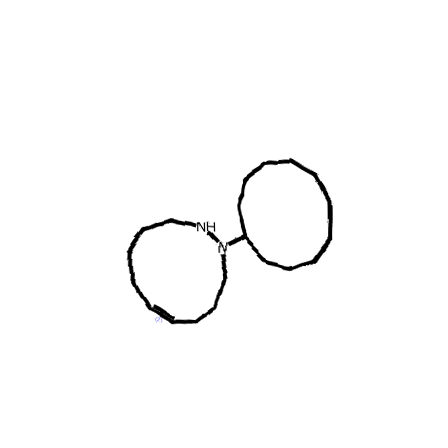 C1=C\CCCN(C2CCCCCCCCCC2)NCCCC/1